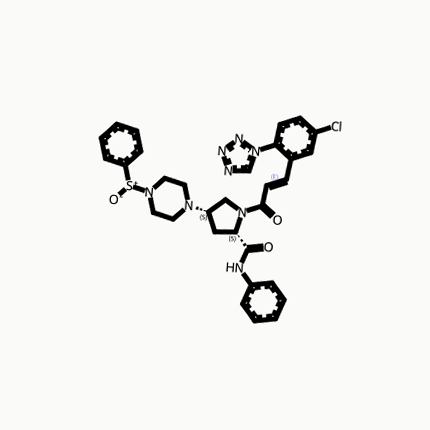 O=C(Nc1ccccc1)[C@@H]1C[C@H](N2CCN([S+]([O-])c3ccccc3)CC2)CN1C(=O)/C=C/c1cc(Cl)ccc1-n1cnnn1